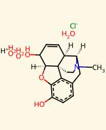 CN1CC[C@]23c4c5ccc(O)c4O[C@H]2C(O)C=C[C@H]3[C@H]1C5.O.O.O.[Cl-].[H+]